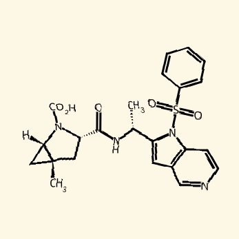 C[C@@H](NC(=O)[C@@H]1C[C@]2(C)C[C@@H]2N1C(=O)O)c1cc2cnccc2n1S(=O)(=O)c1ccccc1